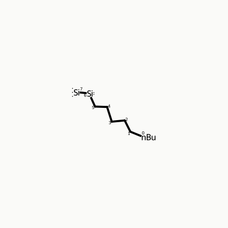 CCCCCCCCC[Si][Si]